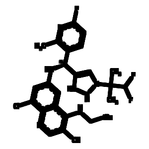 Cc1nc(F)ccc1[C@H](Nc1cc(Cl)c2ncc(C#N)c(NCC(C)(C)C)c2c1)C1=CN(C(C)(C)C(F)F)NN1